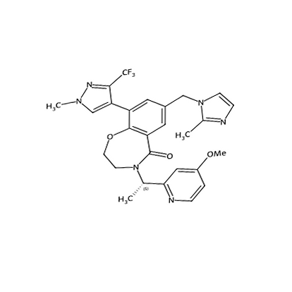 COc1ccnc([C@H](C)N2CCOc3c(cc(Cn4ccnc4C)cc3-c3cn(C)nc3C(F)(F)F)C2=O)c1